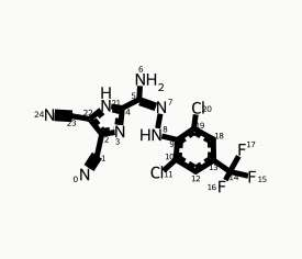 N#Cc1nc(/C(N)=N\Nc2c(Cl)cc(C(F)(F)F)cc2Cl)[nH]c1C#N